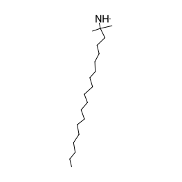 CCCCCCCCCCCCCCCCCC(C)(C)[NH]